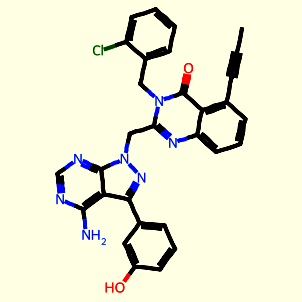 CC#Cc1cccc2nc(Cn3nc(-c4cccc(O)c4)c4c(N)ncnc43)n(Cc3ccccc3Cl)c(=O)c12